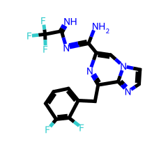 N=C(/N=C(\N)c1cn2ccnc2c(Cc2cccc(F)c2F)n1)C(F)(F)F